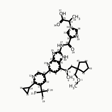 COCC1(CN(C)c2cc(-c3cnc(C4CC4)c(C(F)(F)F)c3)nc3nc(NC(=O)c4cn(C(C)C(=O)O)cn4)[nH]c23)CCCC1